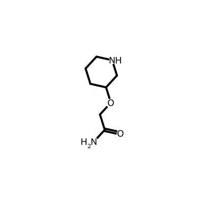 NC(=O)COC1CCCNC1